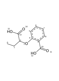 CCC(Oc1ccccc1C(=O)O)C(=O)O